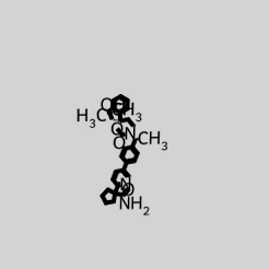 C[C@@H](c1ccc(-c2ccc(C3(C(N)=O)CCCC3)nc2)cc1)N1CC[C@](CC(C)(C)O)(c2ccccc2)OC1=O